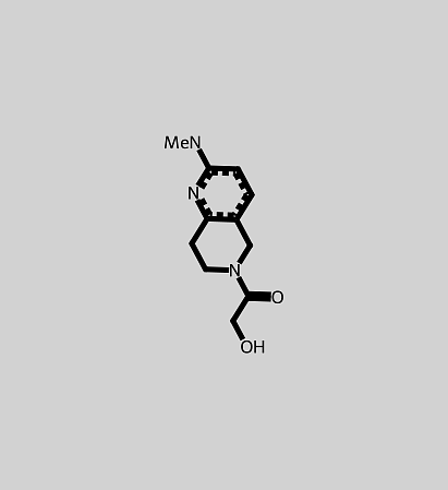 CNc1ccc2c(n1)CCN(C(=O)CO)C2